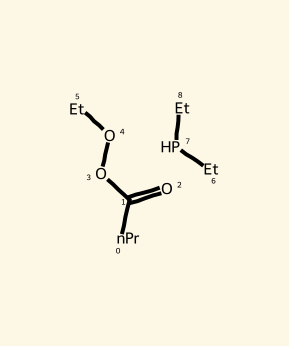 CCCC(=O)OOCC.CCPCC